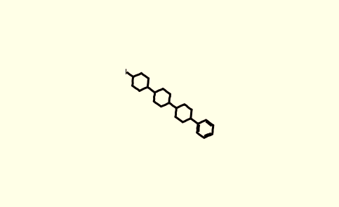 IC1CCC(C2CCC(C3CCC(c4ccccc4)CC3)CC2)CC1